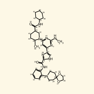 CNc1nc(-c2c[nH]c(C(=O)Nc3ccccc3N3CCC4(CC3)OCCO4)n2)cc(N2CC(C(=O)NC3CCCCC3)CCC2C)n1